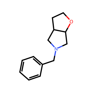 c1ccc(CN2CC3CCOC3C2)cc1